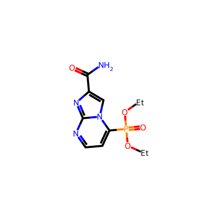 CCOP(=O)(OCC)c1ccnc2nc(C(N)=O)cn12